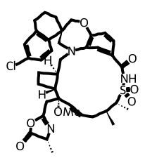 CO[C@@]1(CC2=N[C@H](C)C(=O)O2)/C=C/C[C@H](C)[C@@H](C)S(=O)(=O)NC(=O)c2ccc3c(c2)N(C[C@@H]2CC[C@H]21)C[C@@]1(CCCc2cc(Cl)ccc21)CO3